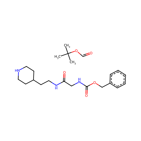 CC(C)(C)OC=O.O=C(CNC(=O)OCc1ccccc1)NCCC1CCNCC1